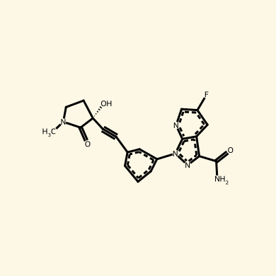 CN1CC[C@@](O)(C#Cc2cccc(-n3nc(C(N)=O)c4cc(F)cnc43)c2)C1=O